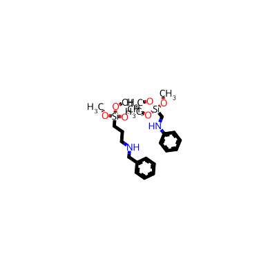 CO[Si](CCCNCc1ccccc1)(OC)OC.CO[Si](CNc1ccccc1)(OC)OC